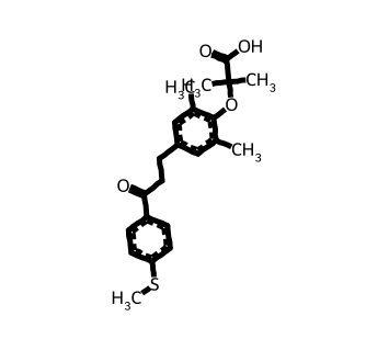 CSc1ccc(C(=O)CCc2cc(C)c(OC(C)(C)C(=O)O)c(C)c2)cc1